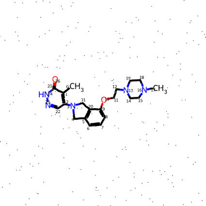 Cc1c(N2Cc3cccc(OCCN4CCN(C)CC4)c3C2)cn[nH]c1=O